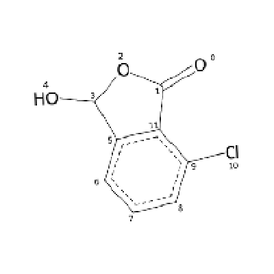 O=C1OC(O)c2cccc(Cl)c21